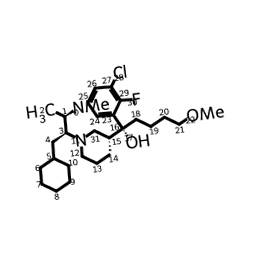 CN[C@H](C)[C@H](CC1CCCCC1)N1CCC[C@@H]([C@](O)(CCCCOC)c2cccc(Cl)c2F)C1